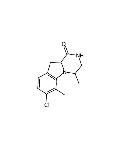 Cc1c(Cl)ccc2c1N1C(C)CNC(=O)C1C2